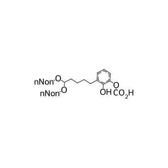 CCCCCCCCCOC(CCCCc1cccc(OC(=O)O)c1O)OCCCCCCCCC